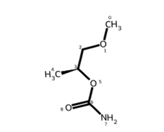 COC[C@H](C)OC(N)=O